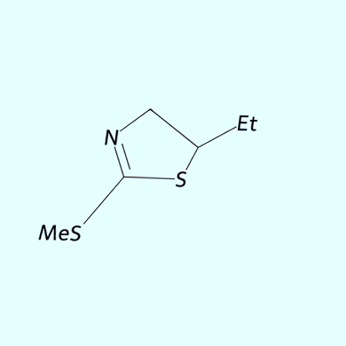 CCC1CN=C(SC)S1